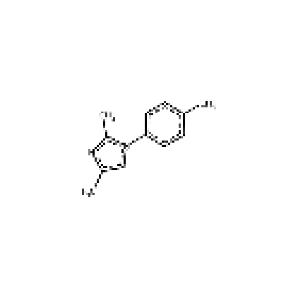 Cc1ccc(-n2cc(C(F)(F)F)nc2C)cc1